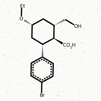 CCO[C@@H]1C[C@H](CO)[C@@H](C(=O)O)[C@H](c2ccc(Br)cc2)C1